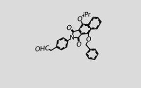 CC(C)Oc1c2c(c(OCc3ccccc3)c3ccccc13)C(=O)N(c1ccc(CC=O)cc1)C2=O